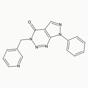 O=c1c2cnn(-c3ccccc3)c2nnn1Cc1cccnc1